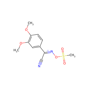 COc1ccc(/C(C#N)=N/OS(C)(=O)=O)cc1OC